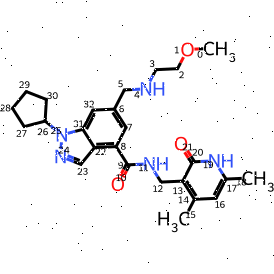 COCCNCc1cc(C(=O)NCc2c(C)cc(C)[nH]c2=O)c2cnn(C3CCCC3)c2c1